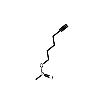 C#CCCCCO[PH](C)=O